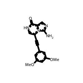 COc1cc(C#Cc2c[nH]c(=O)c3cnc(N)n23)cc(OC)c1